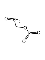 O=[PH2]COP(=O)=O